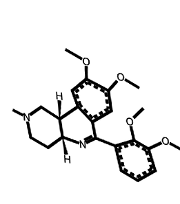 COc1cc2c(cc1OC)[C@H]1CN(C)CC[C@H]1N=C2c1cccc(OC)c1OC